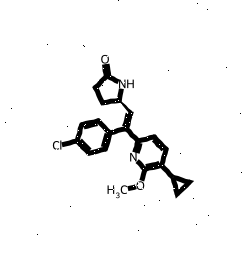 COc1nc(/C(=C/[C@H]2CCC(=O)N2)c2ccc(Cl)cc2)ccc1C1CC1